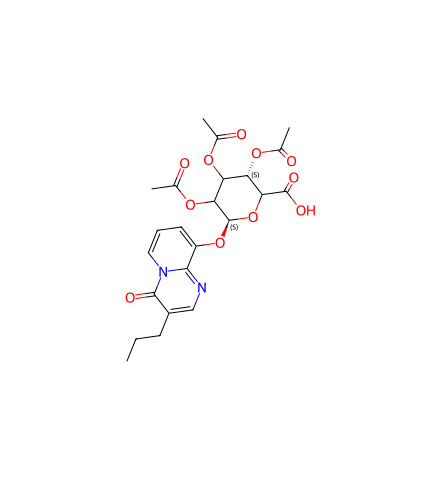 CCCc1cnc2c(O[C@@H]3OC(C(=O)O)[C@@H](OC(C)=O)C(OC(C)=O)C3OC(C)=O)cccn2c1=O